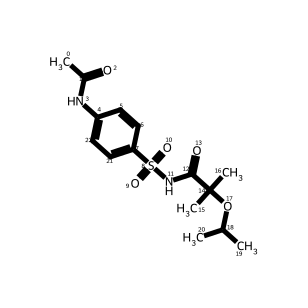 CC(=O)Nc1ccc(S(=O)(=O)NC(=O)C(C)(C)OC(C)C)cc1